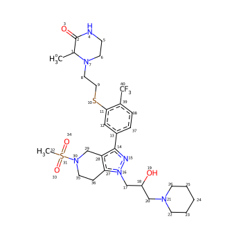 CC1C(=O)NCCN1CCSc1cc(-c2nn(CC(O)CN3CCCCC3)c3c2CN(S(C)(=O)=O)CC3)ccc1C(F)(F)F